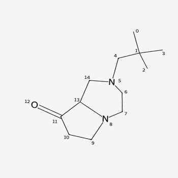 CC(C)(C)CN1CCN2CCC(=O)C2C1